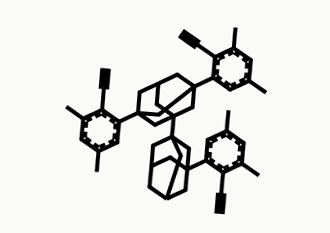 C#Cc1c(C)cc(C)cc1C12CC3CC(C1)CC(C14CC5CC(c6cc(C)cc(C)c6C#C)(CC(c6cc(C)cc(C)c6C#C)(C5)C1)C4)(C3)C2